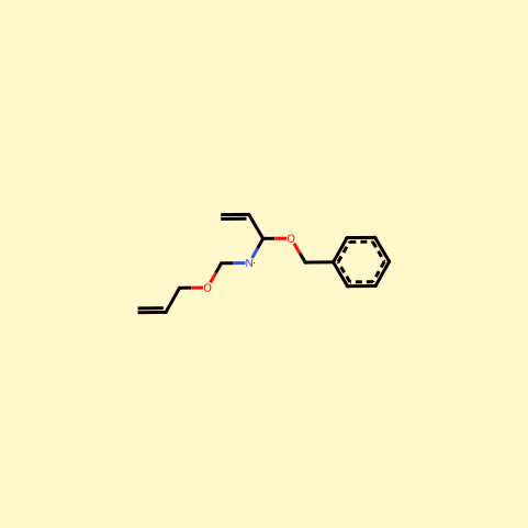 C=CCOC[N]C(C=C)OCc1ccccc1